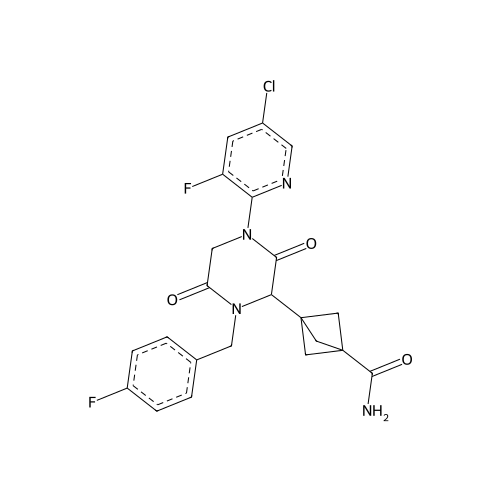 NC(=O)C12CC(C3C(=O)N(c4ncc(Cl)cc4F)CC(=O)N3Cc3ccc(F)cc3)(C1)C2